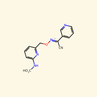 N#C/C(=N\OCc1cccc(NC(=O)O)n1)c1cccnc1